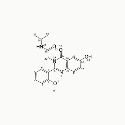 COc1ccccc1-c1nc2ccc(O)cc2c(=O)n1CC(=O)NC(C)C